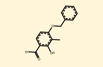 CCC(=O)c1ccc(OCc2ccccc2)c(C)c1O